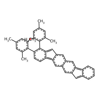 Cc1cc(C)c(-c2ccc3c(c2-c2c(C)cc(C)cc2C)=Cc2cc4cc5c(cc4cc2=3)C=c2ccccc2=5)c(C)c1